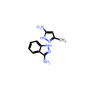 Cc1cc(N)[nH]n1.Nc1n[nH]c2ccccc12